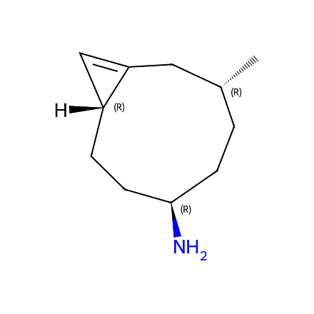 C[C@@H]1CC[C@@H](N)CC[C@@H]2C=C2C1